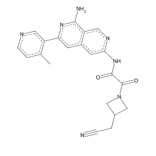 Cc1ccncc1-c1cc2cc(NC(=O)C(=O)N3CC(CC#N)C3)ncc2c(N)n1